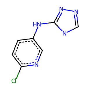 Clc1ccc(NC2=NN=C[N]2)cn1